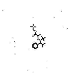 CC(ON(C(c1ccccc1)C(C)C)C(C)(C)C)C(=O)OC[Si](C)(C)C